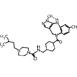 Cc1ccc2c(c1)Nc1c(cnn1C)CN2C(=O)C1CCC(CNC(=O)N2CCN(CCC(C)C)CC2)CC1